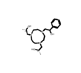 C[C@H](O)CN1CCN(CC(O)c2ccccc2)CCN(C[C@H](C)O)CC1